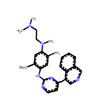 COc1cc(N(C)CCN(C)C)c([N+](=O)[O-])cc1Nc1nccc(-c2cncc3ccccc23)n1